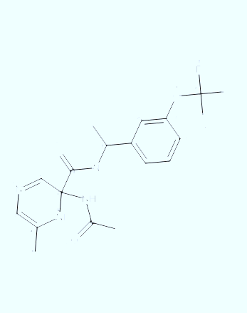 CC(=O)NC1(C(=O)NC(C)c2cccc(OC(F)(F)F)c2)C=NC=C(C)N1